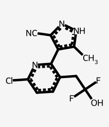 Cc1[nH]nc(C#N)c1-c1nc(Cl)ccc1CC(O)(F)F